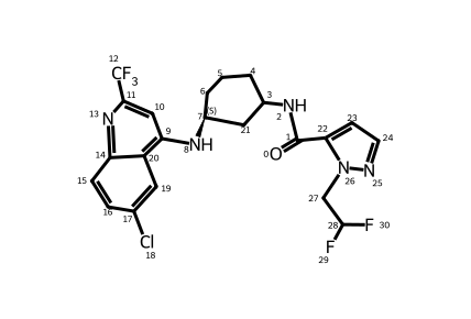 O=C(NC1CCC[C@H](Nc2cc(C(F)(F)F)nc3ccc(Cl)cc23)C1)c1ccnn1CC(F)F